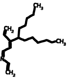 C=C/N=C\C=C(/C=C)C(CCCCC)CCCCCC